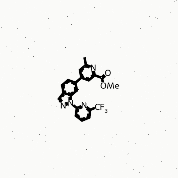 COC(=O)c1cc(-c2ccc3cnn(-c4cccc(C(F)(F)F)n4)c3c2)cc(C)n1